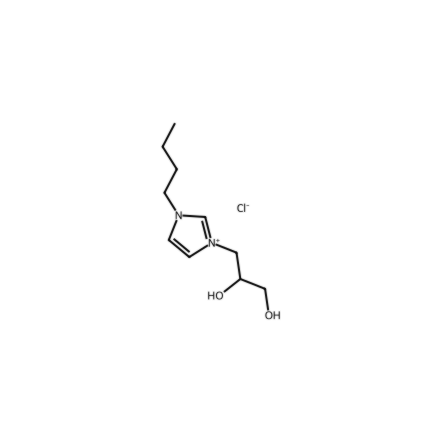 CCCCn1cc[n+](CC(O)CO)c1.[Cl-]